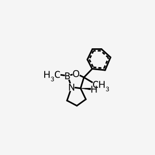 CB1OC(C)(c2ccccc2)[C@@H]2CCCN12